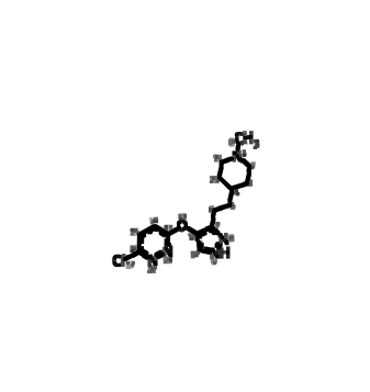 CN1CCC(CCc2n[nH]cc2Oc2ccc(Cl)nn2)CC1